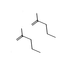 CCCC(=O)O.CCCC(=O)O.Cl.Cl